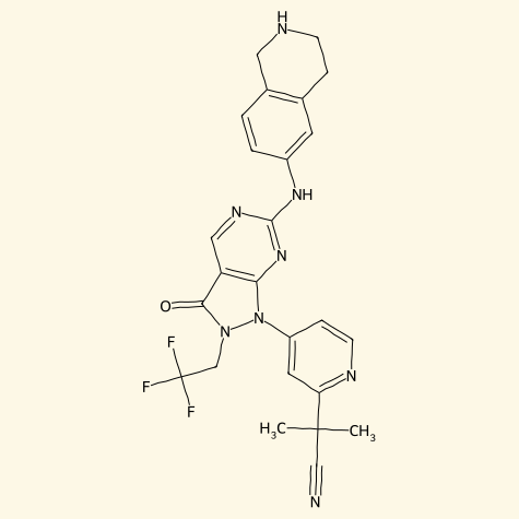 CC(C)(C#N)c1cc(-n2c3nc(Nc4ccc5c(c4)CCNC5)ncc3c(=O)n2CC(F)(F)F)ccn1